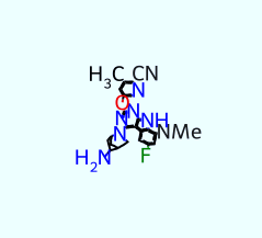 CNc1cc(F)cc2c1[nH]c1nc(Oc3cnc(C#N)c(C)c3)nc(N3CC4CC3CC4N)c12